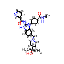 CC(C)NC(=O)[C@H]1CC[C@@H](n2/c(=N/C(=O)c3cccnc3)[nH]c3ccc(CN4CCC(C(C)(C)O)CC4)cc32)CC1